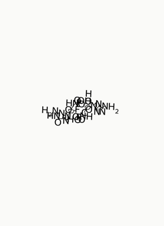 Nc1nc2c(ncn2C2OC3CNP(=O)(O)OC4C(CNP(=O)(O)OC2C3F)OC(n2cnc3c(N)ncnc32)C4O)c(=O)[nH]1